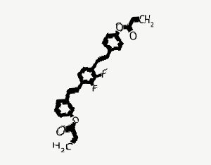 C=CC(=O)Oc1ccc(/C=C/c2ccc(/C=C/c3cccc(OC(=O)C=C)c3)c(F)c2F)cc1